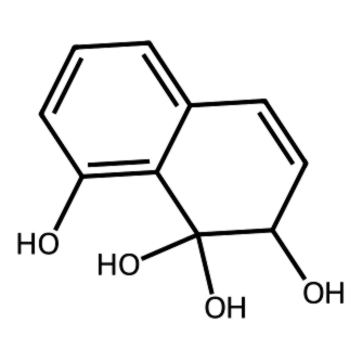 Oc1cccc2c1C(O)(O)C(O)C=C2